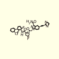 NC(=O)c1nn(CC(=O)N2C[C@H](F)C[C@H]2C(=O)Nc2c(F)ccc(-c3ccccc3Cl)c2F)c2ccc(C#Cc3ncccn3)cc12